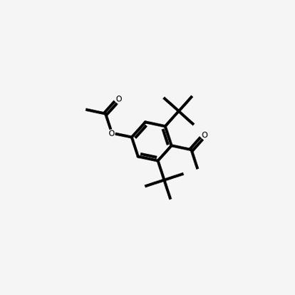 CC(=O)Oc1cc(C(C)(C)C)c(C(C)=O)c(C(C)(C)C)c1